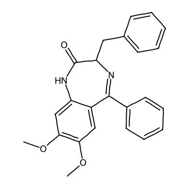 COc1cc2c(cc1OC)C(c1ccccc1)=NC(Cc1ccccc1)C(=O)N2